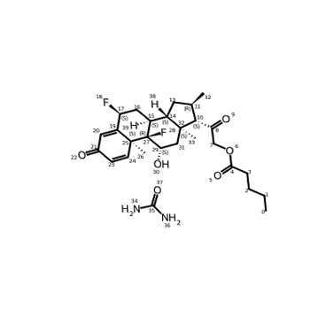 CCCCC(=O)OCC(=O)[C@H]1[C@H](C)C[C@H]2[C@@H]3C[C@H](F)C4=CC(=O)C=C[C@]4(C)[C@@]3(F)[C@@H](O)C[C@@]21C.NC(N)=O